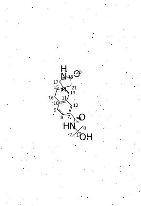 CC(C)(O)NC(=O)c1ccc2c(c1)C[C@@]1(CC2)CNC(=O)C1